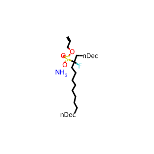 C=CCOS(=O)(=O)C(F)(CCCCCCCCCCC)CCCCCCCCCCCCCCCCCC.N